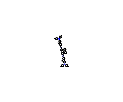 Cc1ccc(N(c2ccc(C)cc2)c2ccc3c(c2)C(C)(C)c2cc(/C=C/c4ccc5c(c4)C4(c6ccccc6-c6ccccc64)c4cc(/C=C/c6ccc7c(c6)C(C)(C)c6cc(N(c8ccc(C)cc8)c8ccc(C)cc8)ccc6-7)ccc4-5)ccc2-3)cc1